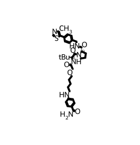 Cc1ncsc1-c1ccc(CNC(=O)[C@@H]2CCCN2C(=O)[C@@H](NC(=O)COCCCCCNc2ccc(C(N)=O)cc2)C(C)(C)C)cc1